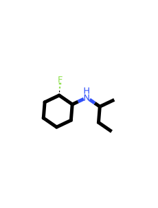 CCC(C)NC1CCCC[C@@H]1F